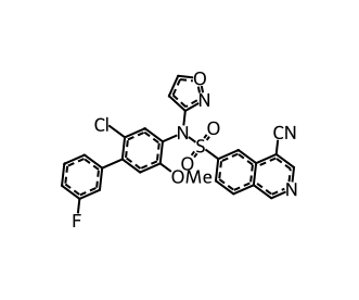 COc1cc(-c2cccc(F)c2)c(Cl)cc1N(c1ccon1)S(=O)(=O)c1ccc2cncc(C#N)c2c1